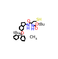 C.CC(C)(C)OC(=O)NC(CCS)C(=O)NC1CCc2ccc(O[Si](c3ccccc3)(c3ccccc3)C(C)(C)C)cc21